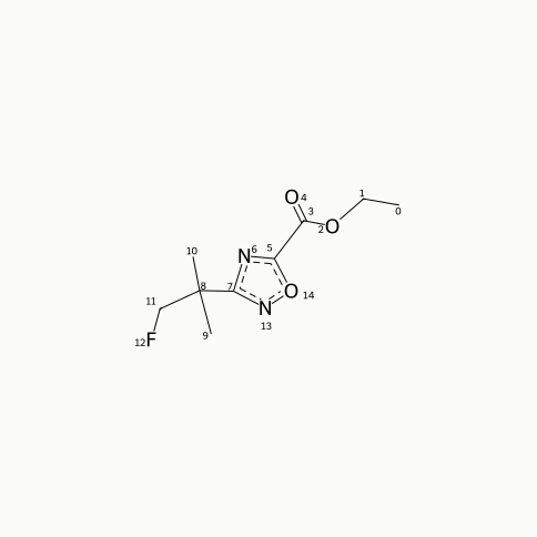 CCOC(=O)c1nc(C(C)(C)CF)no1